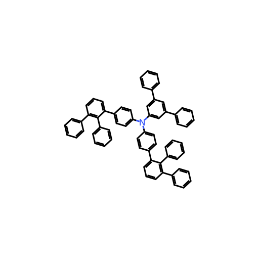 c1ccc(-c2cc(-c3ccccc3)cc(N(c3ccc(-c4cccc(-c5ccccc5)c4-c4ccccc4)cc3)c3ccc(-c4cccc(-c5ccccc5)c4-c4ccccc4)cc3)c2)cc1